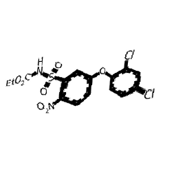 CCOC(=O)NS(=O)(=O)c1cc(Oc2ccc(Cl)cc2Cl)ccc1[N+](=O)[O-]